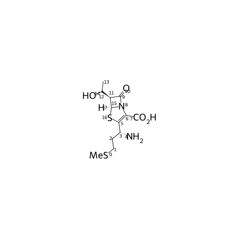 CSCC[C@@H](N)C1=C(C(=O)O)N2C(=O)[C@H](C(C)O)[C@@H]2S1